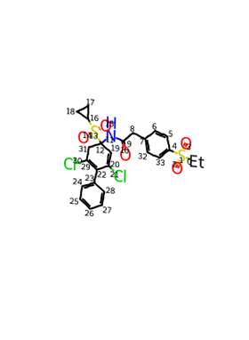 CCS(=O)(=O)c1ccc(CC(=O)NC2(S(=O)(=O)C3CC3)C=C(Cl)C(c3ccccc3)=C(Cl)C2)cc1